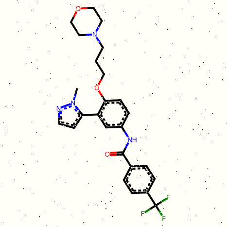 Cn1nccc1-c1cc(NC(=O)c2ccc(C(F)(F)F)cc2)ccc1OCCCN1CCOCC1